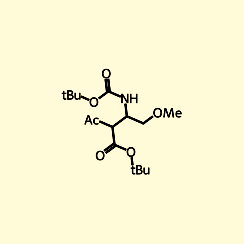 COCC(NC(=O)OC(C)(C)C)C(C(C)=O)C(=O)OC(C)(C)C